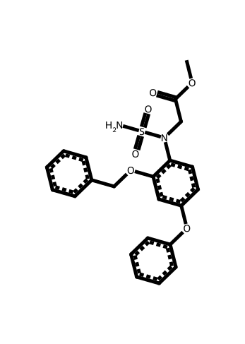 COC(=O)CN(c1ccc(Oc2ccccc2)cc1OCc1ccccc1)S(N)(=O)=O